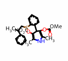 COC(=O)OC1=C(C)NC(C)=C(OC(=O)O)C1c1ccccc1SCC(C)c1ccccc1